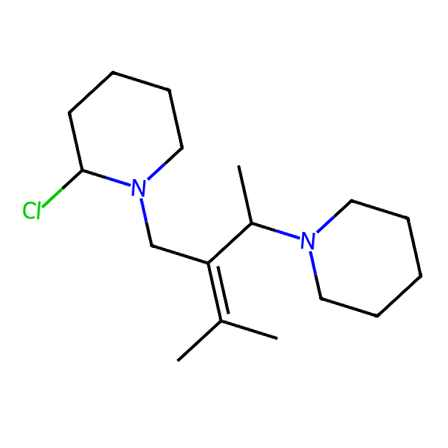 CC(C)=C(CN1CCCCC1Cl)C(C)N1CCCCC1